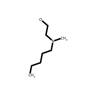 CCCCCN(C)CC[O]